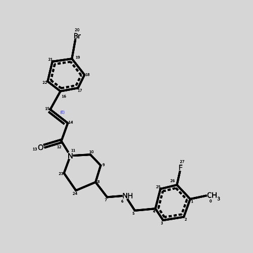 Cc1ccc(CNCC2CCN(C(=O)/C=C/c3ccc(Br)cc3)CC2)cc1F